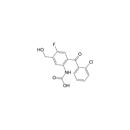 O=C(O)Nc1cc(CO)c(F)cc1C(=O)c1ccccc1Cl